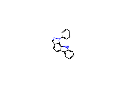 c1ccc(-n2ncc3ccc4c5ccccc5[nH]c4c32)cc1